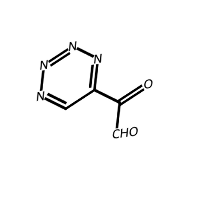 O=CC(=O)c1cnnnn1